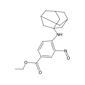 CCOC(=O)c1ccc(NC23CC4CC(CC(C4)C2)C3)c(N=O)c1